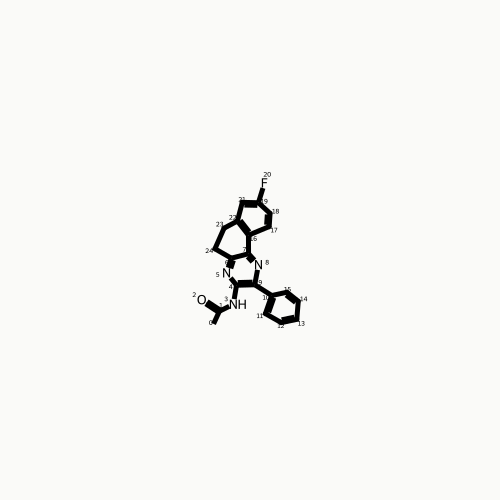 CC(=O)Nc1nc2c(nc1-c1ccccc1)-c1ccc(F)cc1CC2